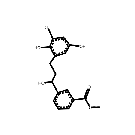 COC(=O)c1cccc(C(O)CCc2cc(O)cc(Cl)c2O)c1